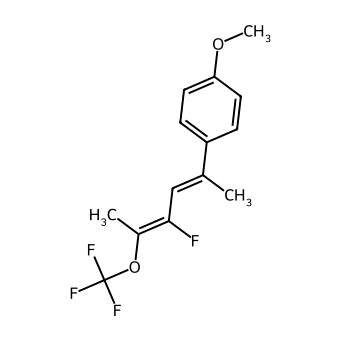 COc1ccc(/C(C)=C/C(F)=C(\C)OC(F)(F)F)cc1